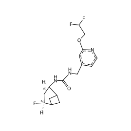 O=C(NCc1ccnc(OCC(F)F)c1)N[C@@H]1C[C@H](F)C2CC1C2